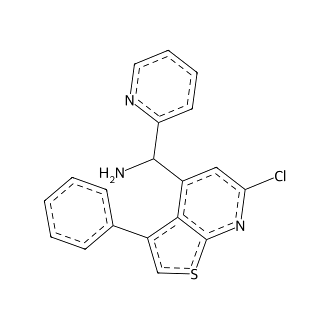 NC(c1ccccn1)c1cc(Cl)nc2scc(-c3ccccc3)c12